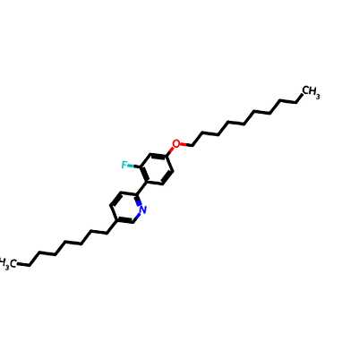 CCCCCCCCCCOc1ccc(-c2ccc(CCCCCCCC)cn2)c(F)c1